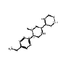 CN1CC(C2CNCCN2)NCC1c1ccc(CN)cc1